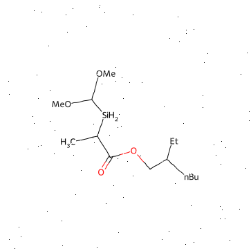 CCCCC(CC)COC(=O)C(C)[SiH2]C(OC)OC